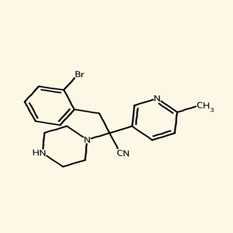 Cc1ccc(C(C#N)(Cc2ccccc2Br)N2CCNCC2)cn1